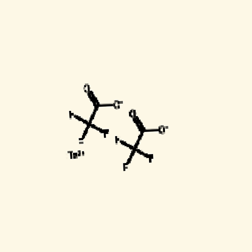 O=C([O-])C(F)(F)F.O=C([O-])C(F)(F)F.[Te+2]